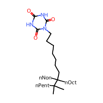 CCCCCCCCCC(CCCCCCCC)(CCCCCCCn1c(=O)[nH]c(=O)[nH]c1=O)C(C)(C)CCCCC